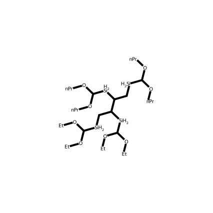 CCCOC(OCCC)[SiH2]CC([SiH2]C(OCCC)OCCC)C(C[SiH2]C(OCC)OCC)[SiH2]C(OCC)OCC